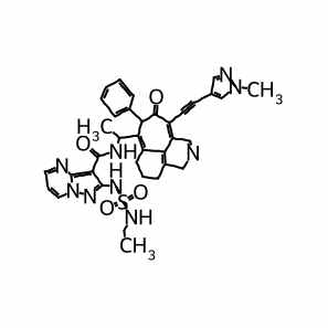 CCNS(=O)(=O)Nc1nn2cccnc2c1C(=O)NC(C)C1=C2CCCC3=C2C(=C(C#Cc2cnn(C)c2)C(=O)C1c1ccccc1)C=NC3